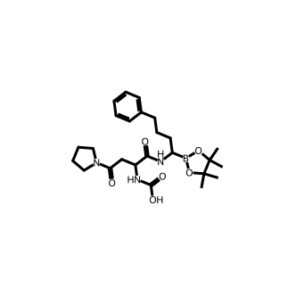 CC1(C)OB(C(CCCc2ccccc2)NC(=O)C(CC(=O)N2CCCC2)NC(=O)O)OC1(C)C